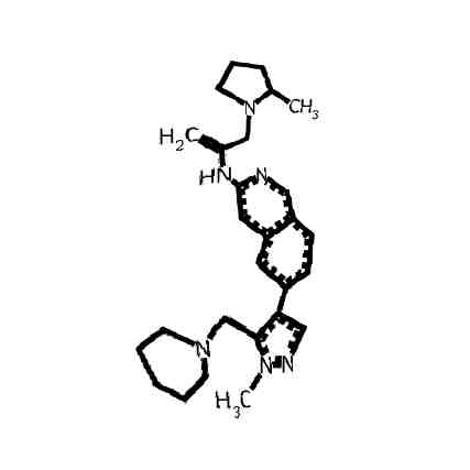 C=C(CN1CCCC1C)Nc1cc2cc(-c3cnn(C)c3CN3CCCCC3)ccc2cn1